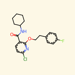 O=C(NC1CCCCC1)c1ccc(Cl)nc1OCCc1ccc(F)cc1